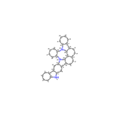 c1ccc2c(c1)[nH]c1cc3c4ccc5ccc6c7ccccc7n7c8ccccc8n(c3cc12)c4c5c67